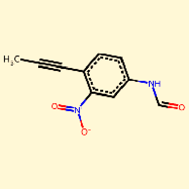 CC#Cc1ccc(NC=O)cc1[N+](=O)[O-]